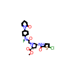 COC(=O)[C@@H]1C[C@@H](NC(=O)c2ccc(Cl)s2)CN1CC(=O)N(F)c1ccc(-n2ccccc2=O)cc1